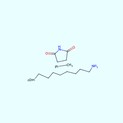 CC(C)C.CCCCCCCCCCCCCCCCCCN.O=C1CCC(=O)N1